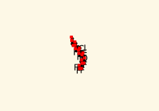 CCCc1ccc(-c2cc(F)c(-c3cc(F)c(C(F)(F)Oc4ccc(-c5cc(F)c(F)c(F)c5)c(F)c4)c(F)c3)c(Cl)c2)cc1